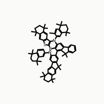 Cc1cc2c(cc1N1c3cc4c(c5c3B(c3sc6cc7c(cc6c31)C(C)(C)CCC7(C)C)N(c1ccc3c(c1)C(C)(C)CCC3(C)C)c1cc3c(cc1-5)C(C)(C)c1cc5c(cc1-3)C(C)(C)CCC5(C)C)C(C)(C)c1ccccc1-4)C(C)(C)CCC2(C)C